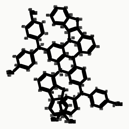 CC(C)(C)c1ccc(N(c2ccc(C(C)(C)C)cc2)c2ccc3c(c2)N(c2cccc4c2sc2cc(C(C)(C)C)ccc24)c2cc(N(c4ccc(C(C)(C)C)cc4)c4ccc(C(C)(C)C)cc4)cc4c2B3c2cccc3c5sc6ccccc6c5n-4c23)cc1